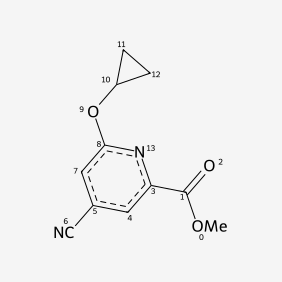 COC(=O)c1cc(C#N)cc(OC2CC2)n1